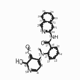 CN(C1=CC=NC(O)C1=C=O)c1ccccc1C(=O)Nc1cc2ccccc2cn1